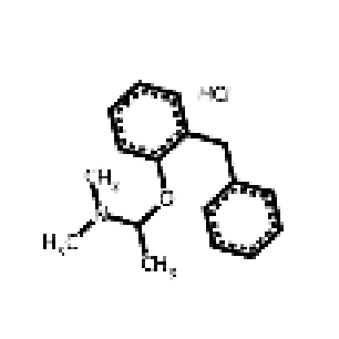 CC(Oc1ccccc1Cc1ccccc1)N(C)C.Cl